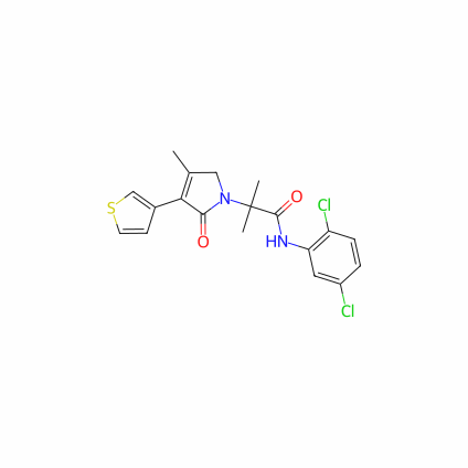 CC1=C(c2ccsc2)C(=O)N(C(C)(C)C(=O)Nc2cc(Cl)ccc2Cl)C1